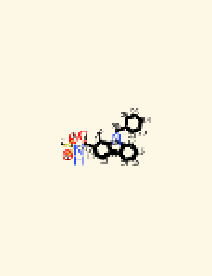 Cc1c(C(=O)NS(C)(=O)=O)ccc2c3ccccc3n(Cc3ccccc3)c12